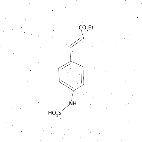 CCOC(=O)C=Cc1ccc(NS(=O)(=O)O)cc1